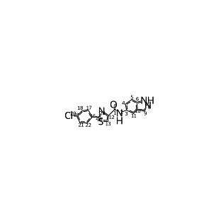 O=C(Nc1ccc2[nH]ncc2c1)c1csc(-c2ccc(Cl)cc2)n1